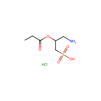 CCC(=O)OC(CN)CS(=O)(=O)O.Cl